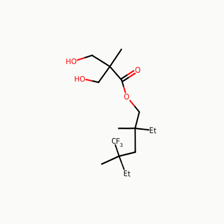 CCC(C)(COC(=O)C(C)(CO)CO)CC(C)(CC)C(F)(F)F